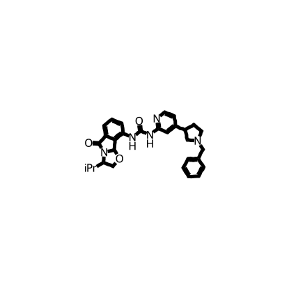 CC(C)C1COC2c3c(NC(=O)Nc4cc(C5CCN(Cc6ccccc6)C5)ccn4)cccc3C(=O)N21